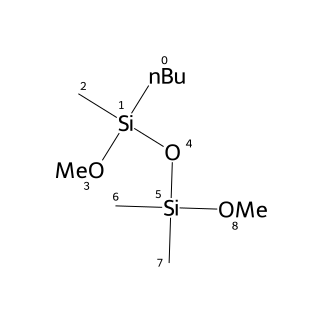 CCCC[Si](C)(OC)O[Si](C)(C)OC